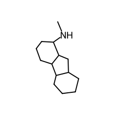 CNC1CCCC2C3CCCCC3CC12